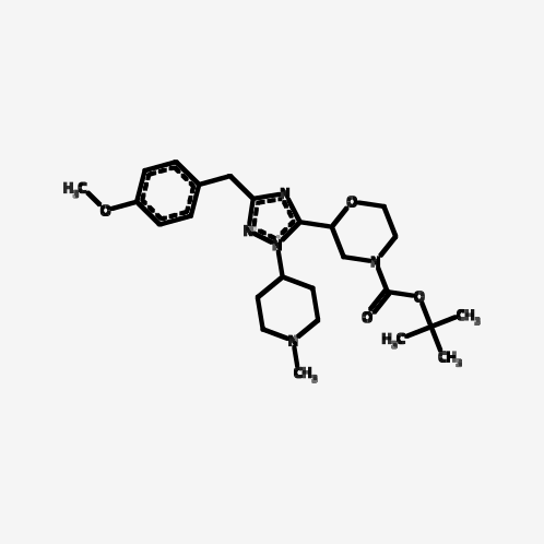 COc1ccc(Cc2nc(C3CN(C(=O)OC(C)(C)C)CCO3)n(C3CCN(C)CC3)n2)cc1